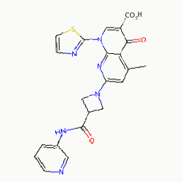 Cc1cc(N2CC(C(=O)Nc3cccnc3)C2)nc2c1c(=O)c(C(=O)O)cn2-c1nccs1